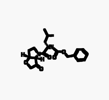 CC(C)C[C@H](NC(=O)OCc1ccccc1)C(=O)N1CC[C@H]2OCC(=O)[C@H]21